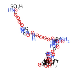 CCCC1O[C@@H]2C[C@H]3[C@@H]4CCC5=CC(=O)C=C[C@]5(C)[C@H]4[C@@H](O)C[C@]3(C)[C@]2(C(=O)COC(Cc2ccccc2)NC(=O)CNC(=O)OCc2ccc(NC(=O)[C@H](CCCNC(N)=O)NC(=O)[C@@H](NC(=O)CCOCCOCCOCCOCCNC(=O)CCC(=O)N3Cc4ccccc4-c4c(nnn4CCOCCOCCOCCOCCC(=O)NCCS(=O)(=O)O)-c4ccccc43)C(C)C)cc2)O1